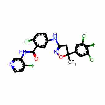 O=C(Nc1cnccc1F)c1cc(NC2=NOC(c3cc(Cl)c(F)c(Cl)c3)(C(F)(F)F)C2)ccc1Cl